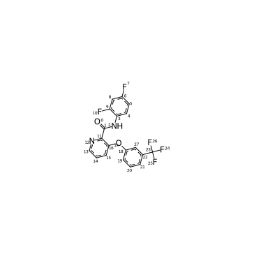 O=C(Nc1ccc(F)cc1F)c1ncccc1Oc1cccc(C(F)(F)F)c1